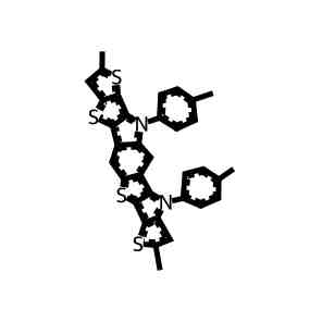 Cc1ccc(-n2c3cc(C)sc3c3sc4cc5c6sc7cc(C)sc7c6n(-c6ccc(C)cc6)c5cc4c32)cc1